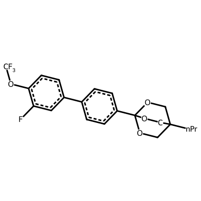 CCCC12COC(c3ccc(-c4ccc(OC(F)(F)F)c(F)c4)cc3)(OC1)OC2